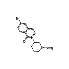 N#CB1CCCC(n2ccc3cc(Br)ccc3c2=O)C1